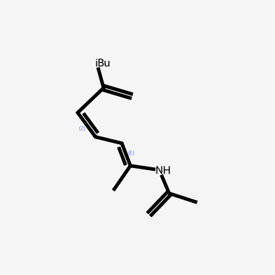 C=C(C)N/C(C)=C/C=C\C(=C)C(C)CC